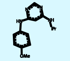 COc1ccc(Nc2cc(NC(C)C)ncn2)cc1